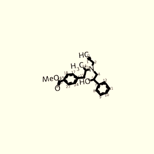 C#CCN(CC(O)c1ccccc1)C(C)Cc1ccc(C(=O)OC)cc1